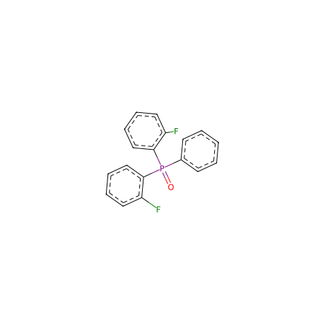 O=P(c1ccccc1)(c1ccccc1F)c1ccccc1F